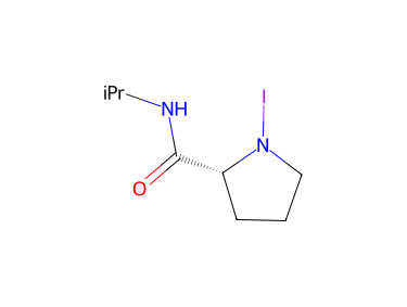 CC(C)NC(=O)[C@H]1CCCN1I